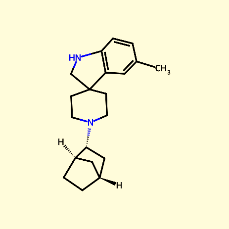 Cc1ccc2c(c1)C1(CCN([C@@H]3C[C@@H]4CC[C@@H]3C4)CC1)CN2